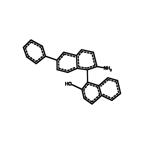 Nc1ccc2cc(-c3ccccc3)ccc2c1-c1c(O)ccc2ccccc12